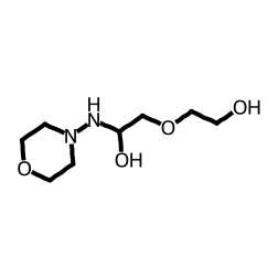 OCCOCC(O)NN1CCOCC1